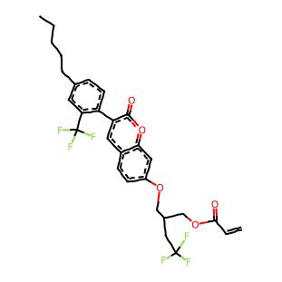 C=CC(=O)OCC(COc1ccc2cc(-c3ccc(CCCCC)cc3C(F)(F)F)c(=O)oc2c1)CC(F)(F)F